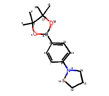 CC1(C)OB(c2ccc(N3CCCS3)cc2)OC1(C)C